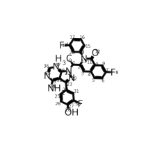 CC(c1cc2ccc(F)cc2c(=O)n1-c1cccc(F)c1)n1nc(-c2ccc(O)c(F)c2)c2c(N)ncnc21